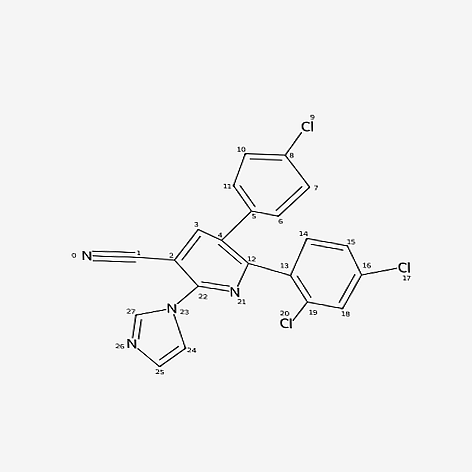 N#Cc1cc(-c2ccc(Cl)cc2)c(-c2ccc(Cl)cc2Cl)nc1-n1ccnc1